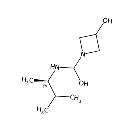 CC(C)[C@@H](C)NC(O)N1CC(O)C1